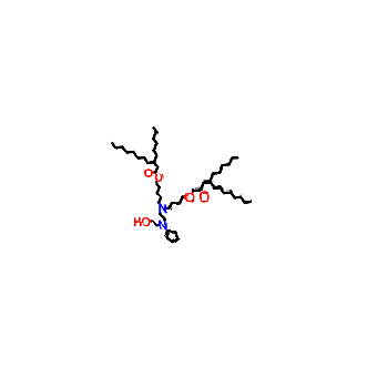 CCCCCCCCC(CCCCCC)CC(=O)COCCCCN(CCCCCOC(=O)CC(CCCCCC)CCCCCCCC)CCN(CCO)C1CCCC1